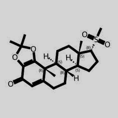 CC1(C)OC2=C(O1)[C@@]1(C)C(=CC2=O)CC[C@@H]2[C@@H]1CC[C@]1(C)[C@H](S(C)(=O)=O)CC[C@@H]21